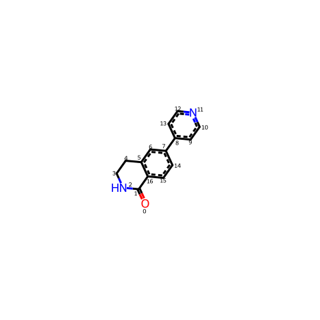 O=C1NCCc2cc(-c3ccncc3)ccc21